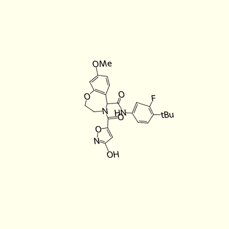 COc1ccc2c(c1)OCCN(C(=O)c1cc(O)no1)C2C(=O)Nc1ccc(C(C)(C)C)c(F)c1